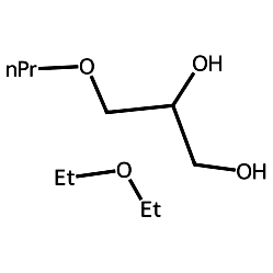 CCCOCC(O)CO.CCOCC